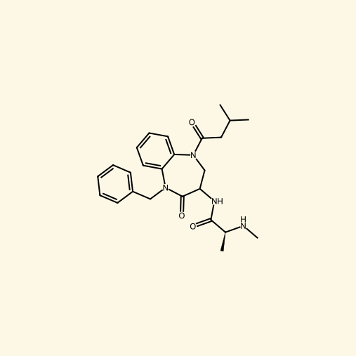 CN[C@@H](C)C(=O)NC1CN(C(=O)CC(C)C)c2ccccc2N(Cc2ccccc2)C1=O